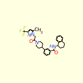 Cc1cc(C(F)(F)F)nn1CC(=O)N1CCC(c2cccc(C(=O)NC3CCCc4ccccc43)c2)CC1